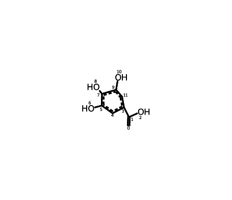 C=C(O)c1cc(O)c(O)c(O)c1